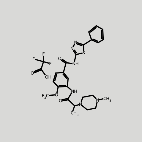 CC(C(=O)Nc1cc(C(=O)Nc2nnc(-c3ccccc3)s2)ccc1OC(F)(F)F)N1CCN(C)CC1.O=C(O)C(F)(F)F